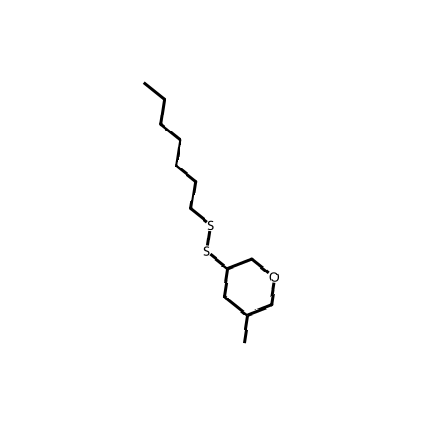 CCCCCCCSSC1COCC(C)C1